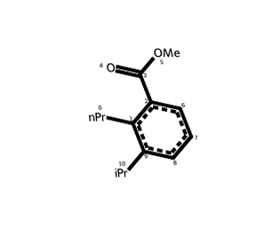 CCCc1c(C(=O)OC)cccc1C(C)C